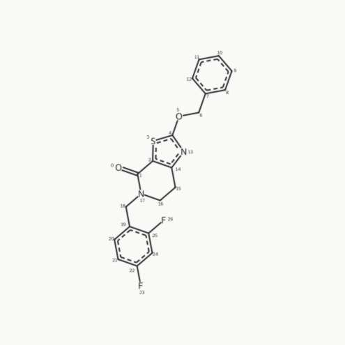 O=C1c2sc(OCc3ccccc3)nc2CCN1Cc1ccc(F)cc1F